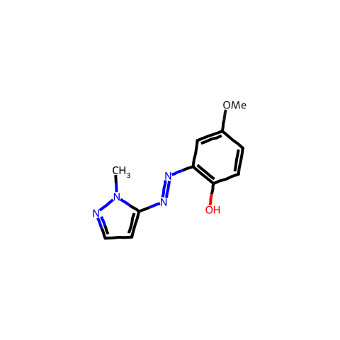 COc1ccc(O)c(/N=N/c2ccnn2C)c1